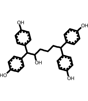 Oc1ccc(C(CCCC(O)C(c2ccc(O)cc2)c2ccc(O)cc2)c2ccc(O)cc2)cc1